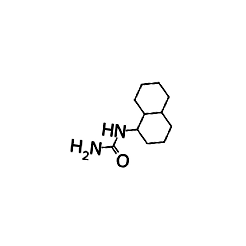 NC(=O)NC1CCCC2CCCCC21